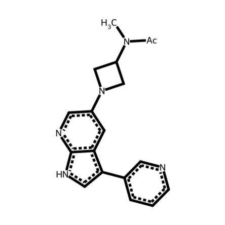 CC(=O)N(C)C1CN(c2cnc3[nH]cc(-c4cccnc4)c3c2)C1